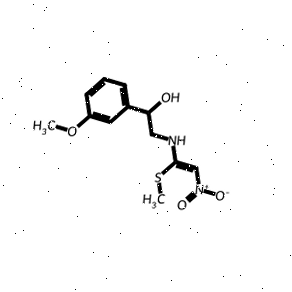 COc1cccc(C(O)CN/C(=C/[N+](=O)[O-])SC)c1